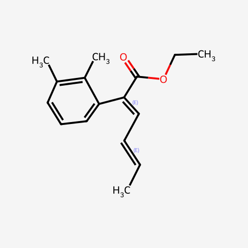 C/C=C/C=C(/C(=O)OCC)c1cccc(C)c1C